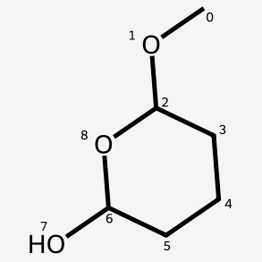 COC1CCCC(O)O1